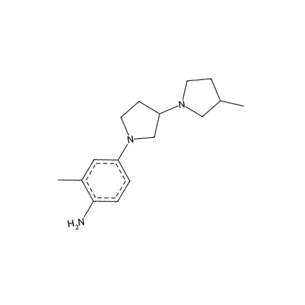 Cc1cc(N2CCC(N3CCC(C)C3)C2)ccc1N